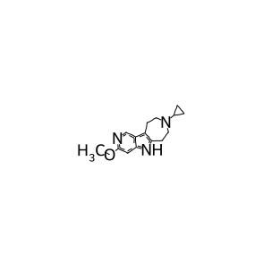 COc1cc2[nH]c3c(c2cn1)CCN(C1CC1)CC3